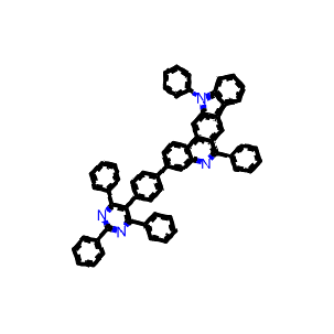 c1ccc(-c2nc(-c3ccccc3)c(-c3ccc(-c4ccc5c(c4)nc(-c4ccccc4)c4cc6c7ccccc7n(-c7ccccc7)c6cc45)cc3)c(-c3ccccc3)n2)cc1